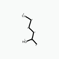 CC(O)CC[CH2][Cu]